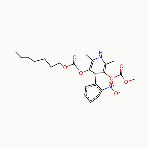 CCCCCCCOC(=O)OC1=C(C)NC(C)=C(OC(=O)OC)C1c1ccccc1[N+](=O)[O-]